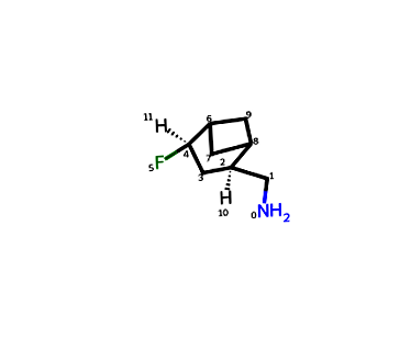 NC[C@H]1C[C@@H](F)C2CC1C2